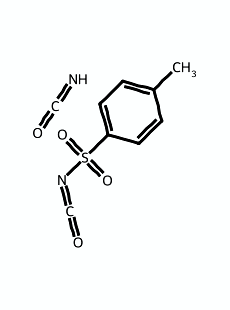 Cc1ccc(S(=O)(=O)N=C=O)cc1.N=C=O